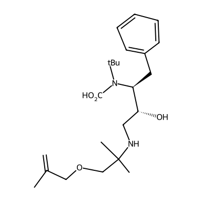 C=C(C)COCC(C)(C)NC[C@@H](O)[C@H](Cc1ccccc1)N(C(=O)O)C(C)(C)C